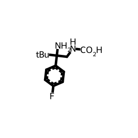 CC(C)(C)C(N)(CNC(=O)O)c1ccc(F)cc1